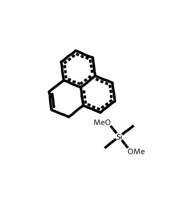 C1=Cc2cccc3cccc(c23)C1.CO[Si](C)(C)OC